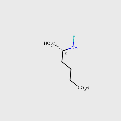 O=C(O)CCC[C@@H](NF)C(=O)O